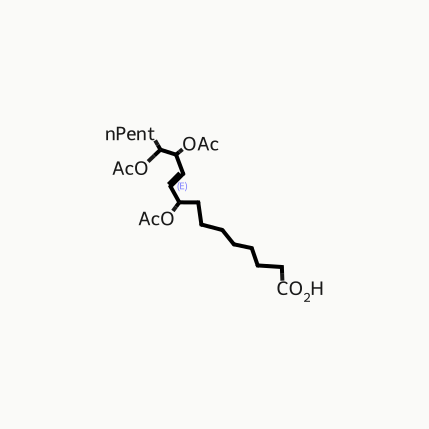 CCCCCC(OC(C)=O)C(/C=C/C(CCCCCCCC(=O)O)OC(C)=O)OC(C)=O